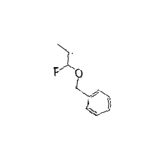 C[CH]C(F)OCc1ccccc1